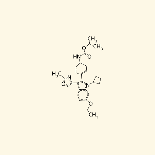 CCOc1ccc2c(-c3coc(C)n3)c(C3=CCC(NC(=O)OC(C)C)C=C3)n(C3CCC3)c2c1